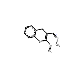 C=NC1=C(/C=N\C)Cc2ccccc2S1